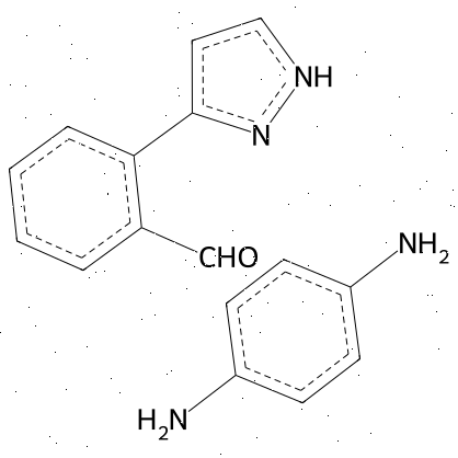 Nc1ccc(N)cc1.O=Cc1ccccc1-c1cc[nH]n1